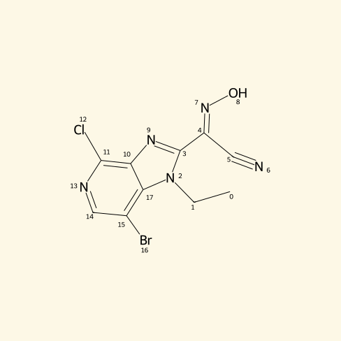 CCn1c(C(C#N)=NO)nc2c(Cl)ncc(Br)c21